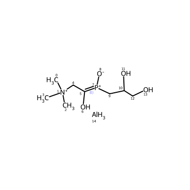 C[N+](C)(C)C/C(O)=[P+](\[O-])CC(O)CO.[AlH3]